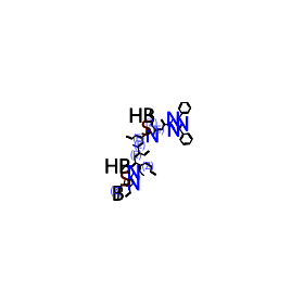 C=C/C=C\c1c(/C=C(C=C)/C(C)=C/C(=C\C=C)c2nc(=C/C(=C)c3nc(-c4ccccc4)nc(-c4ccccc4)n3)/c(=C/BC)s2)c(BC)n(-c2nc(C=C)c(/C=B\C)s2)c1C